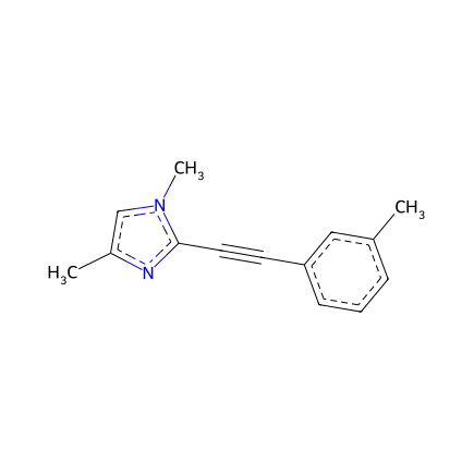 Cc1cccc(C#Cc2nc(C)cn2C)c1